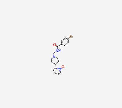 O=C(NCN1CCC(c2cccc[n+]2[O-])CC1)c1ccc(Br)cc1